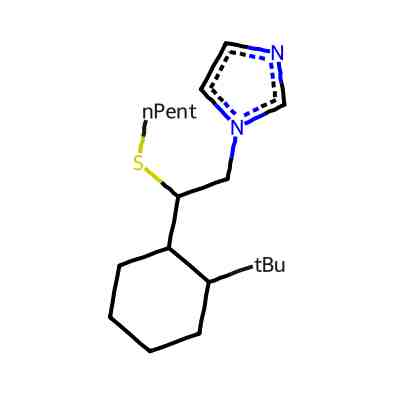 CCCCCSC(Cn1ccnc1)C1CCCCC1C(C)(C)C